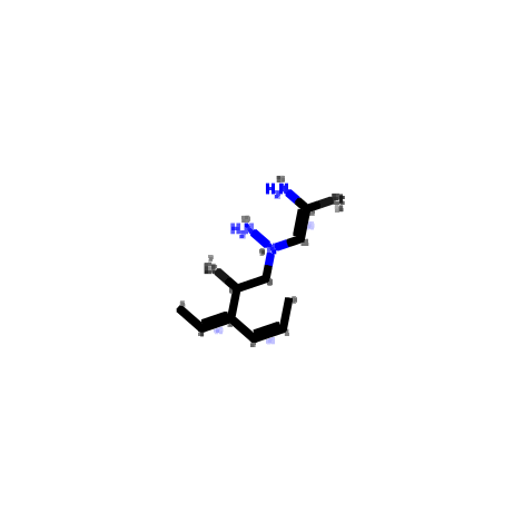 C/C=C\C(=C\C)C(CC)CN(N)/C=C(\N)CC